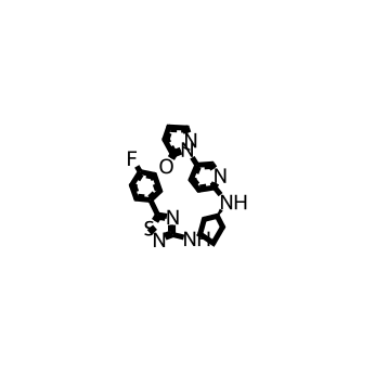 O=c1cccnn1-c1ccc(N[C@H]2CC[C@H](Nc3nsc(-c4ccc(F)cc4)n3)C2)nc1